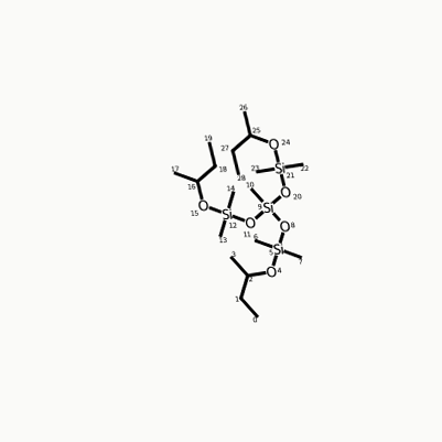 CCC(C)O[Si](C)(C)O[Si](C)(O[Si](C)(C)OC(C)CC)O[Si](C)(C)OC(C)CC